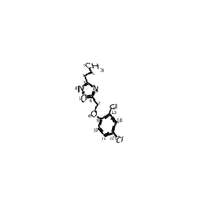 CCCc1noc(COc2ccc(Cl)cc2Cl)n1